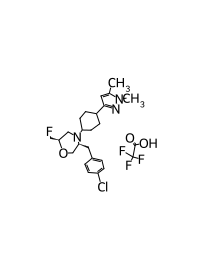 Cc1cc(C2CCC(N3C[C@H](CF)OC[C@@H]3Cc3ccc(Cl)cc3)CC2)nn1C.O=C(O)C(F)(F)F